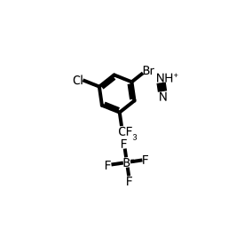 FC(F)(F)c1cc(Cl)cc(Br)c1.F[B-](F)(F)F.N#[NH+]